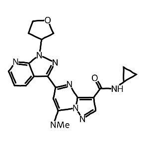 CNc1cc(-c2nn(C3CCOC3)c3ncccc23)nc2c(C(=O)NC3CC3)cnn12